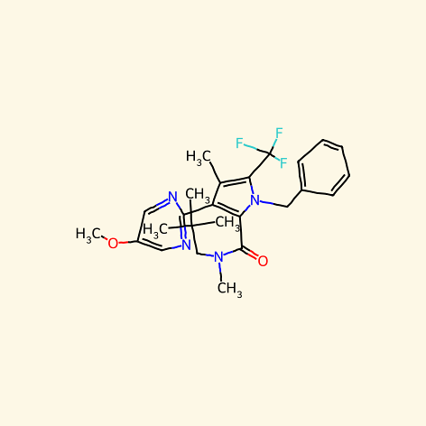 COc1cnc(-c2c(C)c(C(F)(F)F)n(Cc3ccccc3)c2C(=O)N(C)CC(C)(C)C)nc1